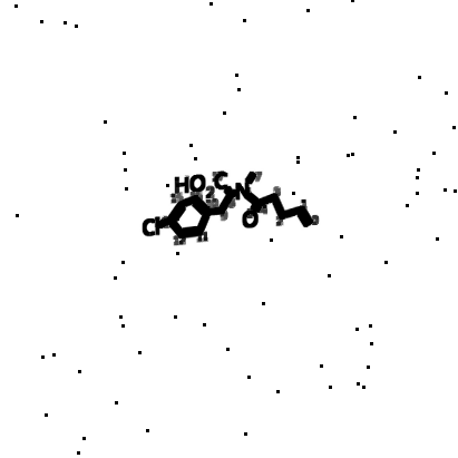 C=CCCC(=O)N(C)C(Cc1ccc(Cl)cc1)C(=O)O